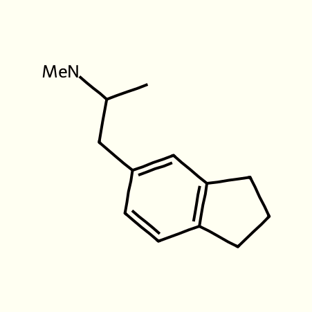 CNC(C)Cc1ccc2c(c1)CCC2